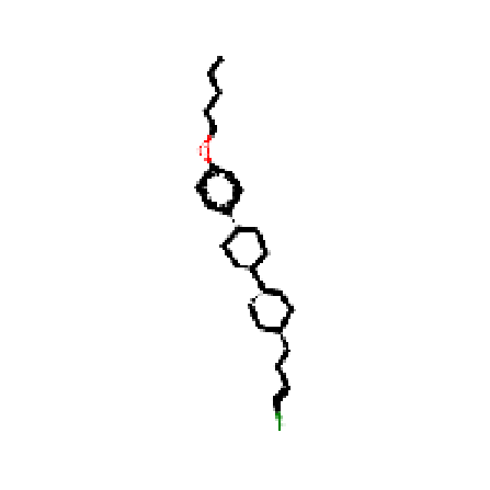 CCCCCOc1ccc([C@H]2CC[C@H]([C@H]3CC[C@H](CCC=CF)CC3)CC2)cc1